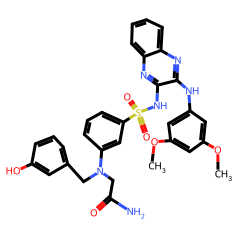 COc1cc(Nc2nc3ccccc3nc2NS(=O)(=O)c2cccc(N(CC(N)=O)Cc3cccc(O)c3)c2)cc(OC)c1